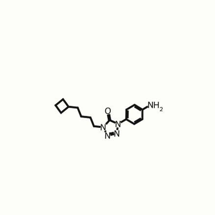 Nc1ccc(-n2nnn(CCCCC3CCC3)c2=O)cc1